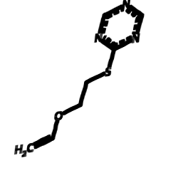 C=COCCSc1ncncn1